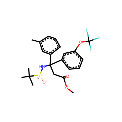 COC(=O)CC(N[S@+]([O-])C(C)(C)C)(c1cccc(C)c1)c1cccc(OC(F)(F)F)c1